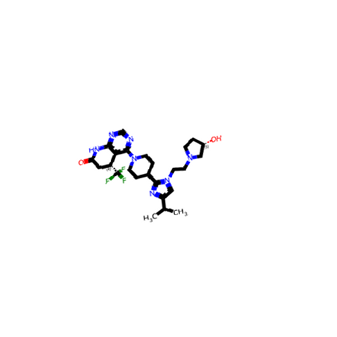 CC(C)c1cn(CCN2CC[C@H](O)C2)c(C2CCN(c3ncnc4c3[C@H](C(F)(F)F)CC(=O)N4)CC2)n1